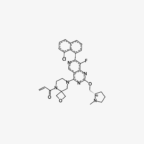 C=CC(=O)N1CCN(c2nc(OC[C@@H]3CCCN3C)nc3c(F)c(-c4cccc5cccc(Cl)c45)ncc23)CC12COC2